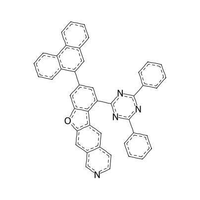 c1ccc(-c2nc(-c3ccccc3)nc(-c3cc(-c4cc5ccccc5c5ccccc45)cc4oc5cc6cnccc6cc5c34)n2)cc1